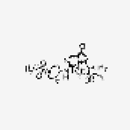 CC(c1nc(Cl)c2cnc(N[C@H]3CCN(S(C)(=O)=O)C[C@H]3F)nn12)C(C)(C)O